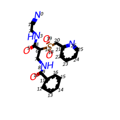 N#CCNC(=O)C(CNC(=O)c1ccccc1)S(=O)(=O)Cc1ccccn1